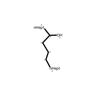 CCCCCCCCCCC(O)CCCCCCC